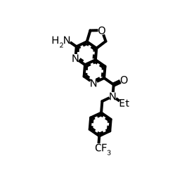 CCN(Cc1ccc(C(F)(F)F)cc1)C(=O)c1cc2c3c(c(N)nc2cn1)COC3